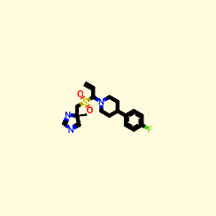 C=CC(N1CCC(c2ccc(F)cc2)CC1)S(=O)(=O)C[C@]1(C)C=NC=N1